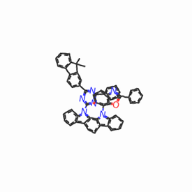 CC1(C)c2ccccc2-c2ccc(-c3nc(-c4ccccc4)nc(-n4c5ccccc5c5ccc6c7ccccc7n(-c7cccc8nc(-c9ccccc9)oc78)c6c54)n3)cc21